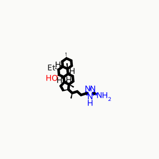 CC[C@H]1[C@@H](O)[C@@H]2[C@H](CC[C@]3(C)[C@@H]([C@H](C)CCc4nnc(N)[nH]4)CC[C@@H]23)[C@@]2(C)CC[C@@H](C)C[C@@H]12